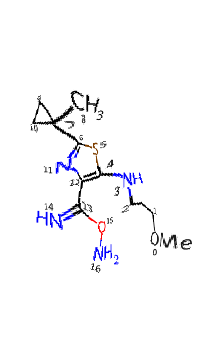 COCCNc1sc(C2(C)CC2)nc1C(=N)ON